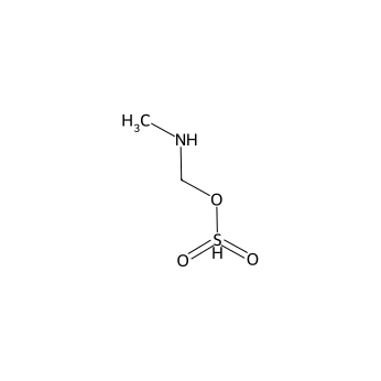 CNCO[SH](=O)=O